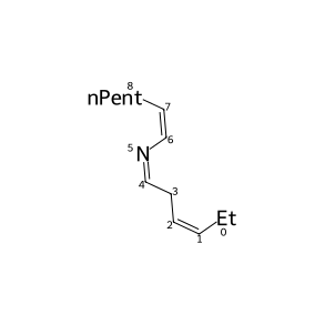 CC/C=C\C/C=N\C=C/CCCCC